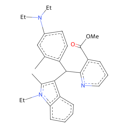 CCN(CC)c1ccc(C(c2ncccc2C(=O)OC)c2c(C)n(CC)c3ccccc23)c(C)c1